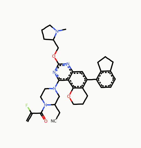 C=C(F)C(=O)N1CCN(c2nc(OCC3CCCN3C)nc3cc(-c4cccc5c4CCC5)c4c(c23)OCCC4)CC1CC#N